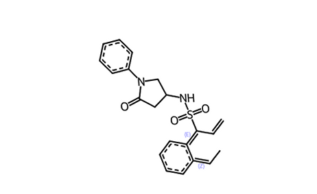 C=C/C(=c1/cccc/c1=C/C)S(=O)(=O)NC1CC(=O)N(c2ccccc2)C1